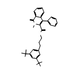 Cn1c(C(=O)NCCCc2cc(C(F)(F)F)cc(C(F)(F)F)c2)c(-c2ccccc2)c2ccccc2c1=O